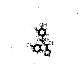 CCC1c2cccn2-c2ccc(Cl)cc2N1S(=O)(=O)c1ccc(O)c(C)c1